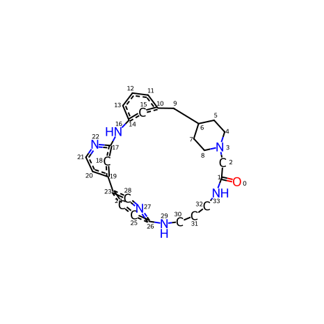 O=C1CN2CCC(CC2)Cc2cccc(c2)Nc2cc(ccn2)-c2ccc(nc2)NCCCN1